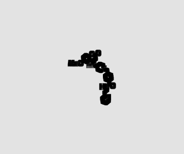 COc1ccc2oc(=O)cc(NC3CCN(Cc4ccc(C(=O)NCCc5ccccn5)cc4)CC3)c2c1